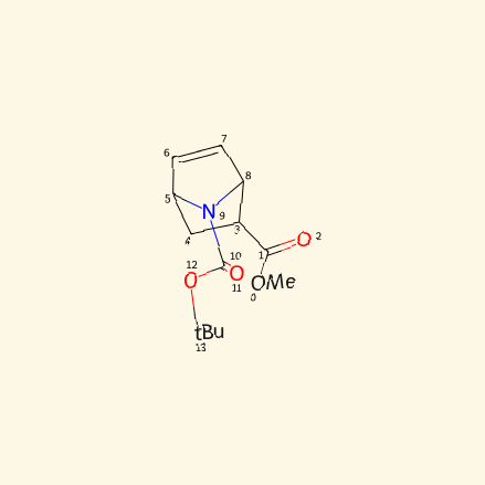 COC(=O)C1CC2C=CC1N2C(=O)OC(C)(C)C